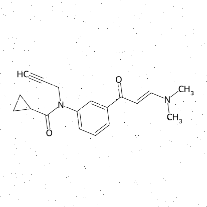 C#CCN(C(=O)C1CC1)c1cccc(C(=O)C=CN(C)C)c1